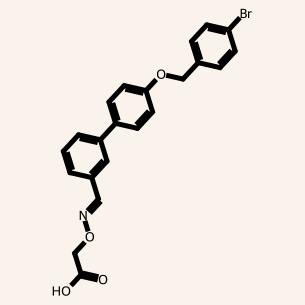 O=C(O)CON=Cc1cccc(-c2ccc(OCc3ccc(Br)cc3)cc2)c1